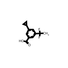 CC(F)(F)c1cc(C(=O)O)cc(C2CC2)c1